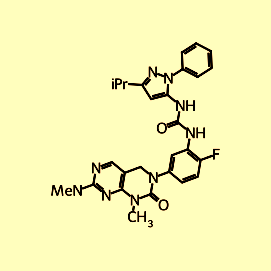 CNc1ncc2c(n1)N(C)C(=O)N(c1ccc(F)c(NC(=O)Nc3cc(C(C)C)nn3-c3ccccc3)c1)C2